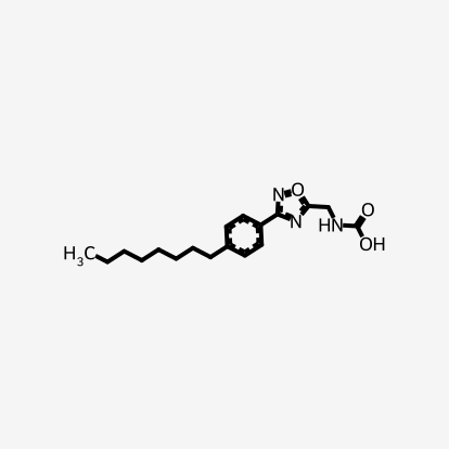 CCCCCCCCc1ccc(-c2noc(CNC(=O)O)n2)cc1